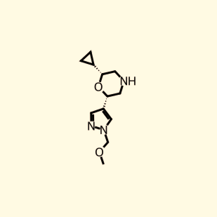 COCn1cc([C@H]2CNC[C@@H](C3CC3)O2)cn1